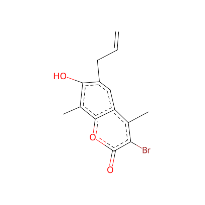 C=CCc1cc2c(C)c(Br)c(=O)oc2c(C)c1O